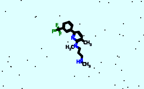 CNCCCN(C)c1nc(-c2cccc(C(F)(F)F)c2)ccc1C